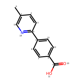 Cc1ccc(-c2ccc(C(=O)O)cc2)nc1